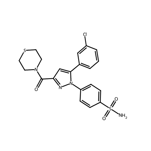 NS(=O)(=O)c1ccc(-n2nc(C(=O)N3CCSCC3)cc2-c2cccc(Cl)c2)cc1